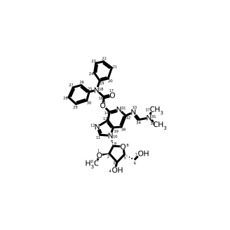 CO[C@@H]1C(O)[C@@H](CO)O[C@H]1n1cnc2c(OC(=O)N(c3ccccc3)c3ccccc3)nc(N=CN(C)C)cc21